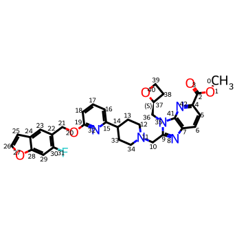 COC(=O)c1ccc2nc(CN3CCC(c4cccc(OCc5cc6ccoc6cc5F)n4)CC3)n(C[C@@H]3CCO3)c2n1